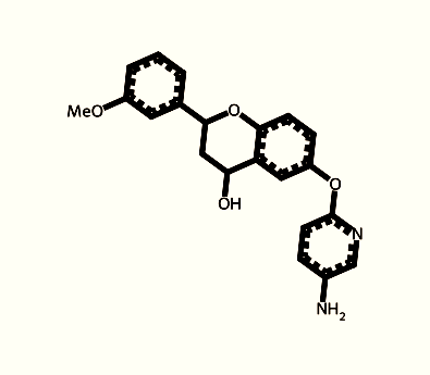 COc1cccc(C2CC(O)c3cc(Oc4ccc(N)cn4)ccc3O2)c1